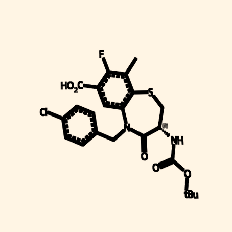 Cc1c(F)c(C(=O)O)cc2c1SC[C@H](NC(=O)OC(C)(C)C)C(=O)N2Cc1ccc(Cl)cc1